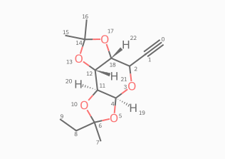 C#CC1O[C@H]2OC(C)(CC)O[C@H]2[C@@H]2OC(C)(C)O[C@H]12